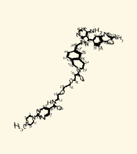 CN1CCN(c2ncc(C(=O)NCCOCCOCCC(=O)N3CCc4cc(Cn5nc(-c6ccc7oc(N)nc7c6)c6c(N)ncnc65)ccc4C3)cn2)CC1